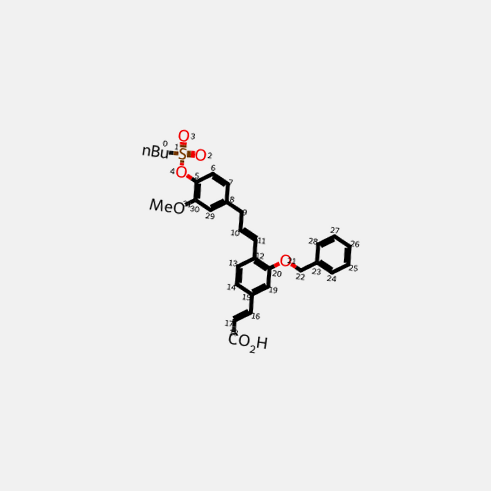 CCCCS(=O)(=O)Oc1ccc(CC=Cc2ccc(C=CC(=O)O)cc2OCc2ccccc2)cc1OC